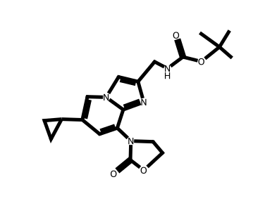 CC(C)(C)OC(=O)NCc1cn2cc(C3CC3)cc(N3CCOC3=O)c2n1